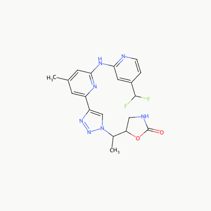 Cc1cc(Nc2cc(C(F)F)ccn2)nc(-c2cn(C(C)C3CNC(=O)O3)nn2)c1